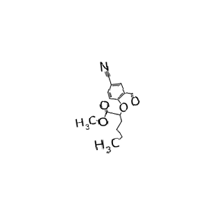 CCCCC(Oc1ccc(C#N)cc1C=O)C(=O)OC